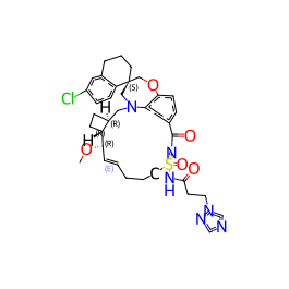 CO[C@H]1/C=C/CCCS(=O)(NC(=O)CCn2cncn2)=NC(=O)c2ccc3c(c2)N(C[C@@H]2CC[C@H]21)C[C@@]1(CCCc2cc(Cl)ccc21)CO3